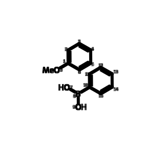 COc1ccccc1.OB(O)c1ccccc1